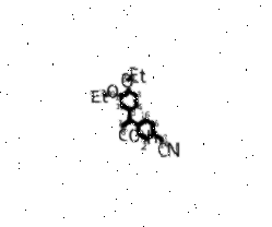 CCOc1ccc(C(=CC(=O)O)c2ccc(CC#N)cc2)cc1OCC